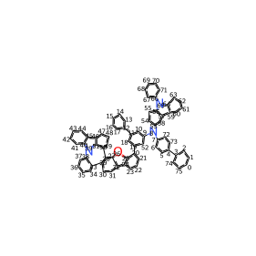 c1ccc(-c2ccc(N(c3cc(-c4ccccc4)cc(-c4cccc5c4oc4c6c(ccc45)-c4ccccc4-n4c5ccccc5c5cccc-6c54)c3)c3ccc4c(c3)c3ccccc3n4-c3ccccc3)cc2)cc1